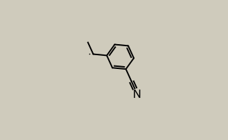 C[CH]c1cccc(C#N)c1